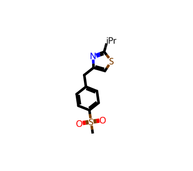 CC(C)c1nc(Cc2ccc(S(C)(=O)=O)cc2)cs1